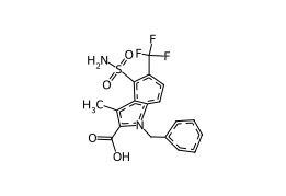 Cc1c(C(=O)O)n(Cc2ccccc2)c2ccc(C(F)(F)F)c(S(N)(=O)=O)c12